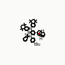 CC(C)(C)c1ccc(N2c3cc([C@]45CC6C7CC8C[C@H]6C(C4)[C@H](C8)C7C5)cc4c3B(c3cc5c(cc3N4c3ccc4c(c3)C(C)(C)CCC4(C)C)C(C)(C)CCC5(C)C)c3sc4ccccc4c32)cc1